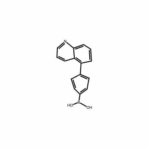 OB(O)c1ccc(-c2cccc3ncccc23)cc1